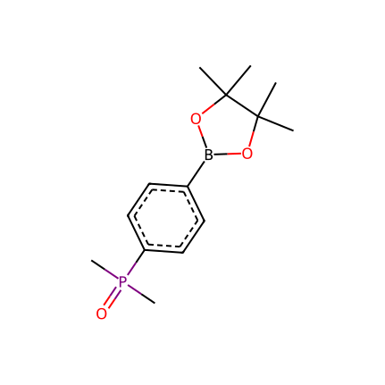 CC1(C)OB(c2ccc(P(C)(C)=O)cc2)OC1(C)C